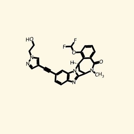 CN1C(=O)c2cccc(OC(F)F)c2[C@H]2CC1c1nc3ccc(C#Cc4cnn(CCO)c4)cc3n12